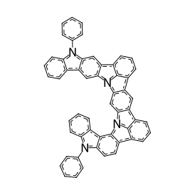 c1ccc(-n2c3ccccc3c3cc4c(cc32)c2cccc3c5cc6c7cccc8c9ccc%10c(c%11ccccc%11n%10-c%10ccccc%10)c9n(c6cc5n4c23)c78)cc1